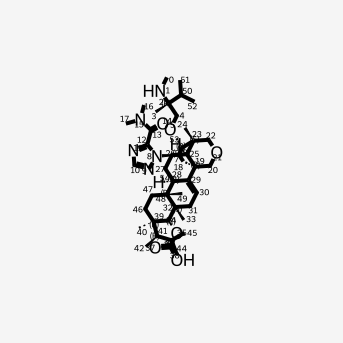 CN[C@@](C)(CO[C@H]1[C@H](n2ncnc2C(=O)N(C)C)C[C@@]23COC[C@]1(C)[C@@H]2CC[C@H]1C3=CC[C@]2(C)[C@H](OC(=O)O)[C@@](C)([C@H](C)C(C)C)CC[C@]12C)C(C)C